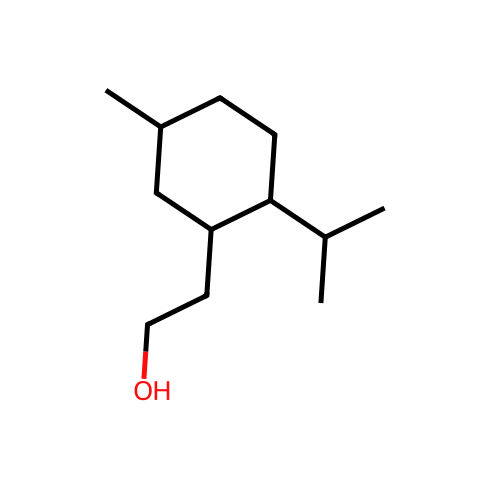 CC1CCC(C(C)C)C(CCO)C1